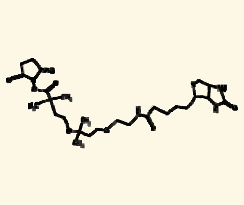 CC(C)(CCOCCNC(=O)CCCCC1SCC2NC(=O)NC21)OCCC(C)(C)C(=O)ON1C(=O)CCC1=O